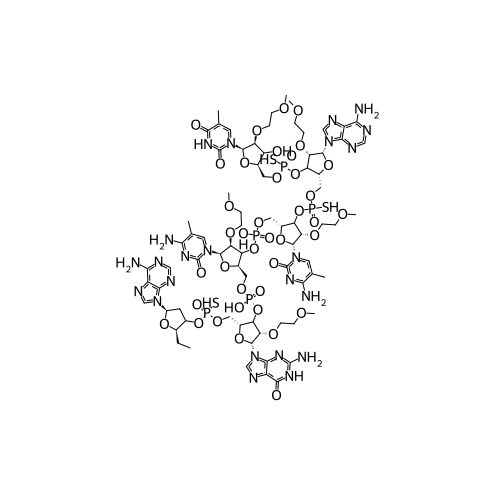 CC[C@H]1O[C@@H](n2cnc3c(N)ncnc32)CC1OP(=O)(S)OC[C@H]1O[C@@H](n2cnc3c(=O)[nH]c(N)nc32)[C@@H](OCCOC)C1OP(=O)(O)OC[C@H]1O[C@@H](n2cc(C)c(N)nc2=O)[C@@H](OCCOC)C1OP(=O)(O)OC[C@H]1O[C@@H](n2cc(C)c(N)nc2=O)[C@@H](OCCOC)C1OP(=O)(S)OC[C@H]1O[C@@H](n2cnc3c(N)ncnc32)[C@@H](OCCOC)C1OP(=O)(S)OC[C@H]1O[C@@H](n2cc(C)c(=O)[nH]c2=O)[C@@H](OCCOC)C1O